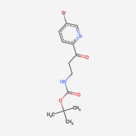 CC(C)(C)OC(=O)NCCC(=O)c1ccc(Br)cn1